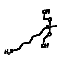 C[Si](CCCCCCN)(OCO)OCO